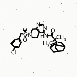 CC(C)(C(=O)Nc1ncnc2c1CCN(S(=O)(=O)Cc1ccc(Cl)cc1)C2)C12CC3CC(CC(C3)C1)C2